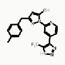 Cc1ccc(Cc2cc(O)n(-c3cc(-c4nn[nH]c4C(F)(F)F)ccn3)n2)cc1